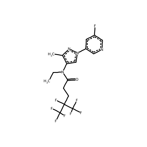 CCN(C(=O)CCC(F)(C(F)(F)F)C(F)(F)F)c1cn(-c2cncc(F)c2)nc1C